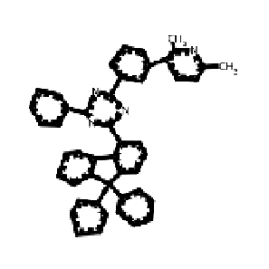 Cc1ccc(-c2cccc(-c3nc(-c4ccccc4)nc(-c4cccc5c4-c4ccccc4C5(c4ccccc4)c4ccccc4)n3)c2)c(C)n1